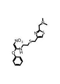 CN(C)Cc1nc(CSCCNC(=C[N+](=O)[O-])Oc2ccccc2)cs1